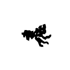 CCCCC(CC)CC1(CC(CC)CCCC)c2cc(C3=CC=C(C(C)(C)C)S3(=O)=O)sc2-c2sc(C(C)(CC)CC)cc21